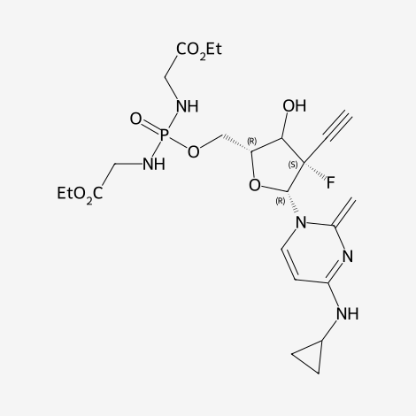 C#C[C@]1(F)C(O)[C@@H](COP(=O)(NCC(=O)OCC)NCC(=O)OCC)O[C@H]1N1C=CC(NC2CC2)=NC1=C